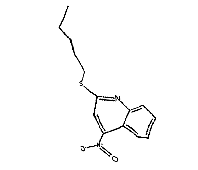 CCCCCSc1cc([N+](=O)[O-])c2ccccc2n1